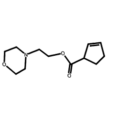 O=C(OCCN1CCOCC1)C1C=CCC1